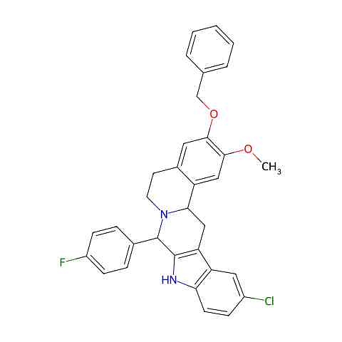 COc1cc2c(cc1OCc1ccccc1)CCN1C2Cc2c([nH]c3ccc(Cl)cc23)C1c1ccc(F)cc1